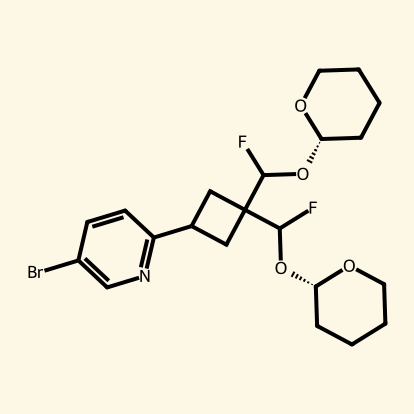 FC(O[C@H]1CCCCO1)C1(C(F)O[C@H]2CCCCO2)CC(c2ccc(Br)cn2)C1